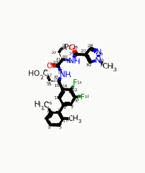 Cc1cccc(C)c1-c1cc(F)c(F)c([C@H](CC(=O)O)NC(=O)[C@H](CC(C)C)NC(=O)c2cnn(C)c2)c1